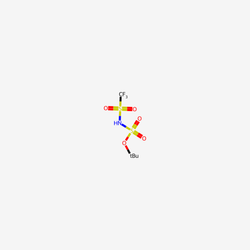 CC(C)(C)OS(=O)(=O)NS(=O)(=O)C(F)(F)F